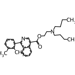 CCCCN(CCCC)CCOC(=O)c1cnc(-c2cccc(C)c2C)c2ccccc12